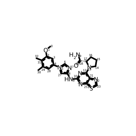 COc1cc(-n2cnc(Nc3nc(N4CCC[C@H]4C(N)=O)c4ncsc4n3)c2)cc(C)c1C